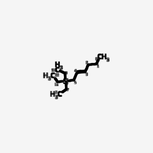 CCCC=CC[Si](CC)(CC)CC